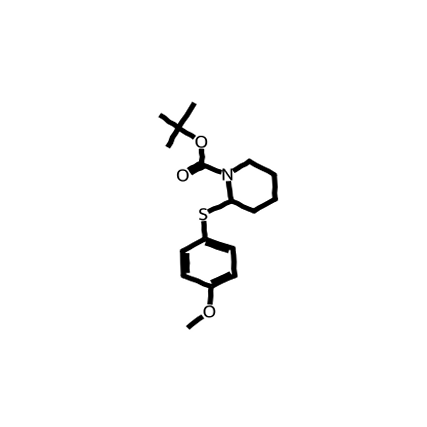 COc1ccc(SC2CCCCN2C(=O)OC(C)(C)C)cc1